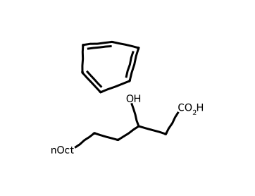 CCCCCCCCCCC(O)CC(=O)O.c1ccccc1